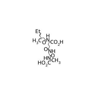 CC/C=C/C(C)CC(=O)N[C@H](CCC(=O)NCC(=O)N[C@H](C)C(=O)O)C(=O)O